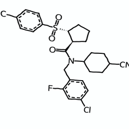 Cc1ccc(S(=O)(=O)[C@@H]2CCC[C@H]2C(=O)N(Cc2ccc(Cl)cc2F)C2CCC(C#N)CC2)cc1